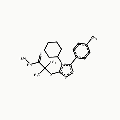 Cc1ccc(-c2nnc(SC(C)(C)C(=O)NN)n2C2CCCCC2)cc1